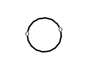 C1CCCCOCCCCCCOCCC1